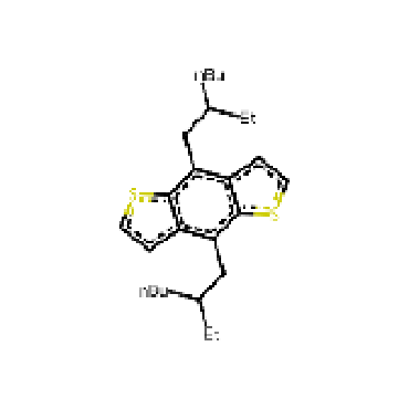 CCCCC(CC)Cc1c2ccsc2c(CC(CC)CCCC)c2ccsc12